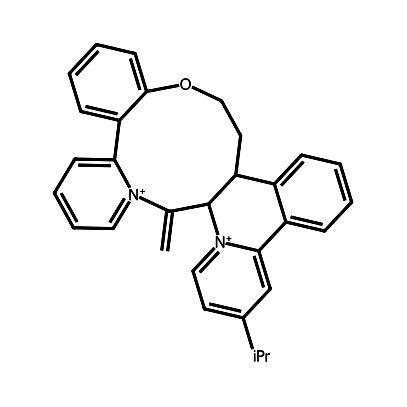 C=C1C2C(CCOc3ccccc3-c3cccc[n+]31)c1ccccc1-c1cc(C(C)C)cc[n+]12